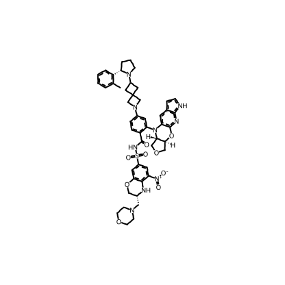 Cc1ccccc1[C@@H]1CCCN1C1CC2(C1)CN(c1ccc(C(=O)NS(=O)(=O)c3cc4c(c([N+](=O)[O-])c3)N[C@H](CN3CCOCC3)CO4)c(N3c4cc5cc[nH]c5nc4O[C@H]4COC[C@@H]43)c1)C2